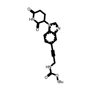 CC(C)(C)OC(=O)NCC#Cc1ccc2c(c1)ncn2C1CCC(=O)NC1=O